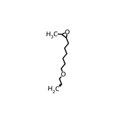 C=CCOCCCCCCC1OC1C